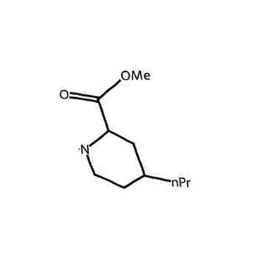 CCCC1CC[N]C(C(=O)OC)C1